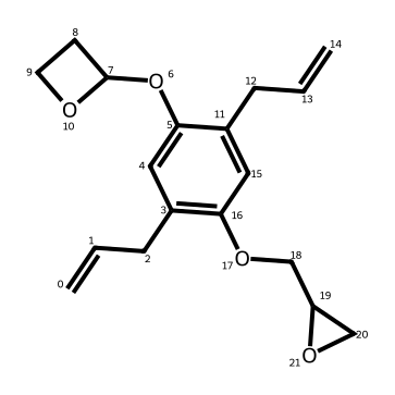 C=CCc1cc(OC2CCO2)c(CC=C)cc1OCC1CO1